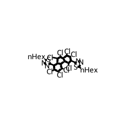 CCCCCCc1nnc(-c2c(Cl)c(Cl)c3c(Cl)c(Cl)c4c(-c5nnc(CCCCCC)s5)c(Cl)c(Cl)c(Cl)c4c3c2Cl)s1